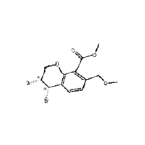 COCc1ccc2c(c1C(=O)OC)OC[C@@H](Br)[C@H]2Br